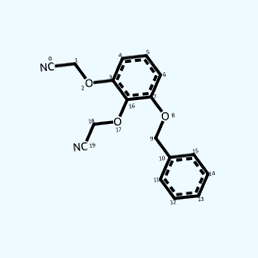 N#CCOc1cccc(OCc2ccccc2)c1OCC#N